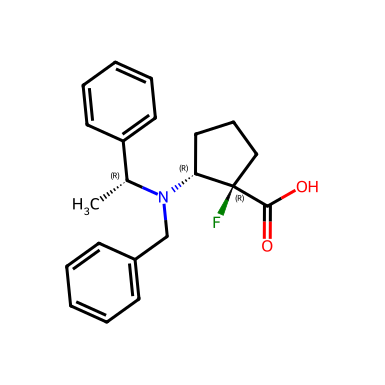 C[C@H](c1ccccc1)N(Cc1ccccc1)[C@@H]1CCC[C@]1(F)C(=O)O